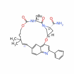 CCCC[C@@H]1NC(=O)OCCC(C)(C)/C=C/c2ccc3nc(-c4ccccc4)cc(c3c2)O[C@@H]2C[C@@H](C(N)=O)N(C2)C1=O